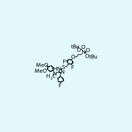 COc1ccc(N(C)c2[nH]c(SCc3c(F)cc(OCCCN(C(=O)OC(C)(C)C)C(=O)OC(C)(C)C)cc3F)nc2-c2ccc(F)cc2)cc1OC